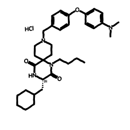 CCCCN1C(=O)[C@H](CC2CCCCC2)NC(=O)C12CCN(Cc1ccc(Oc3ccc(N(C)C)cc3)cc1)CC2.Cl